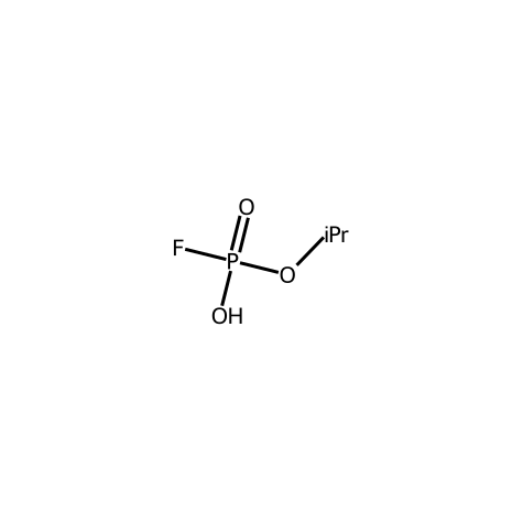 CC(C)OP(=O)(O)F